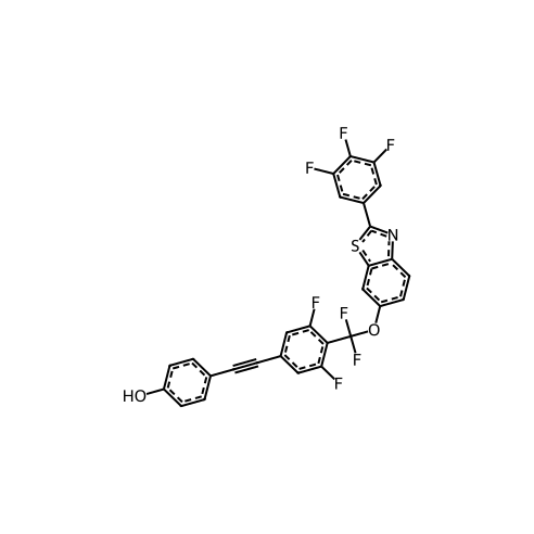 Oc1ccc(C#Cc2cc(F)c(C(F)(F)Oc3ccc4nc(-c5cc(F)c(F)c(F)c5)sc4c3)c(F)c2)cc1